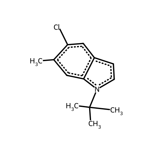 Cc1cc2c(ccn2C(C)(C)C)cc1Cl